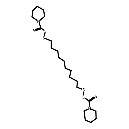 S=C(SSCCCCCCCCCCSSC(=S)N1CCCCC1)N1CCCCC1